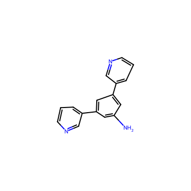 Nc1cc(-c2cccnc2)cc(-c2cccnc2)c1